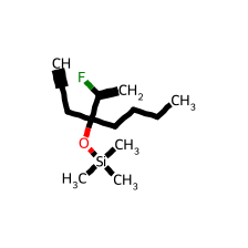 C#CCC(CCCC)(O[Si](C)(C)C)C(=C)F